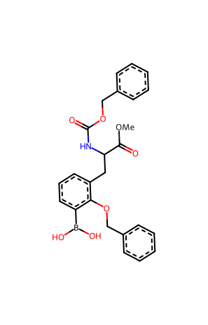 COC(=O)C(Cc1cccc(B(O)O)c1OCc1ccccc1)NC(=O)OCc1ccccc1